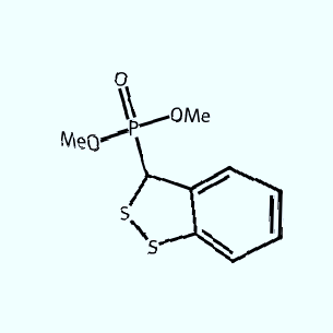 COP(=O)(OC)C1SSc2ccccc21